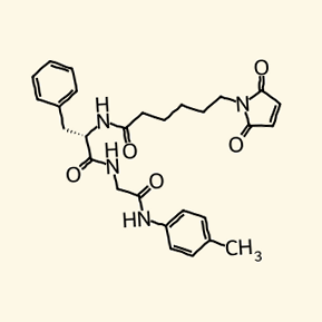 Cc1ccc(NC(=O)CNC(=O)[C@H](Cc2ccccc2)NC(=O)CCCCCN2C(=O)C=CC2=O)cc1